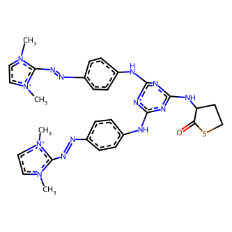 Cn1cc[n+](C)c1/N=N/c1ccc(Nc2nc(Nc3ccc(/N=N/c4n(C)cc[n+]4C)cc3)nc(NC3CCSC3=O)n2)cc1